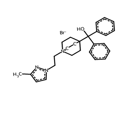 Cc1ccn(CC[N+]23CCC(C(O)(c4ccccc4)c4ccccc4)(CC2)CC3)n1.[Br-]